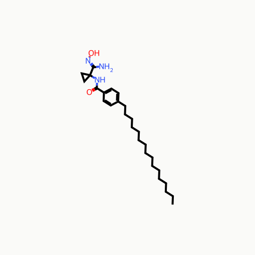 CCCCCCCCCCCCCCCCc1ccc(C(=O)NC2(/C(N)=N/O)CC2)cc1